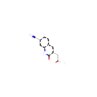 N#Cc1ccc2cc(CC(=O)O)c(=O)[nH]c2c1